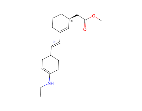 CCNC1=CCC(/C=C/C2=C[C@H](CC(=O)OC)CCC2)CC1